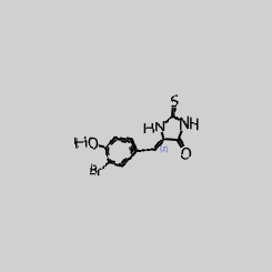 O=C1NC(=S)N/C1=C\c1ccc(O)c(Br)c1